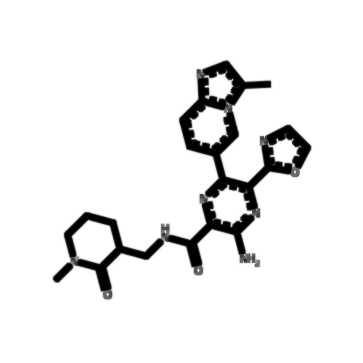 Cc1cnc2ccc(-c3nc(C(=O)NCC4CCCN(C)C4=O)c(N)nc3-c3ncco3)cn12